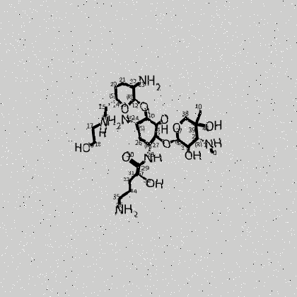 CN[C@@H]1C(O)[C@@H](OC2C(O)C(O[C@H]3O[C@H](CNCCO)CCC3N)[C@@H](N)C[C@H]2NC(=O)[C@@H](O)CCCN)OCC1(C)O